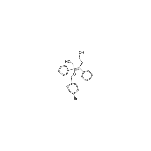 OCC[C@@H](c1ccccc1)[C@@](CO)(OCc1ccc(Br)cc1)c1ccccc1